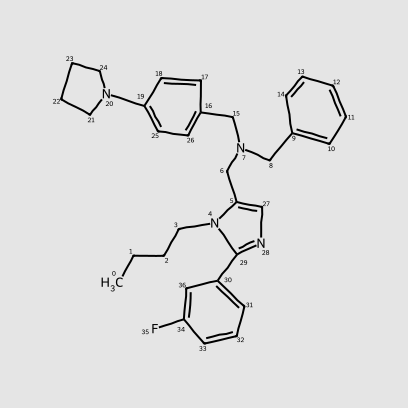 CCCCn1c(CN(Cc2ccccc2)Cc2ccc(N3CCCC3)cc2)cnc1-c1cccc(F)c1